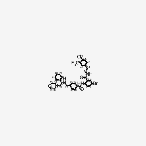 O=C(Nc1ccc(Br)cc1C(=O)N/N=C/c1ccc(Cl)c(C(F)(F)F)c1)c1ccc(CNC(CN2CCOCC2)c2ccccc2)cc1